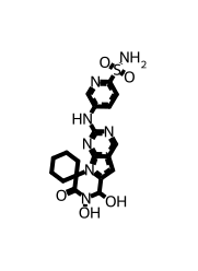 NS(=O)(=O)c1ccc(Nc2ncc3cc4n(c3n2)C2(CCCCC2)C(=O)N(O)C4O)cn1